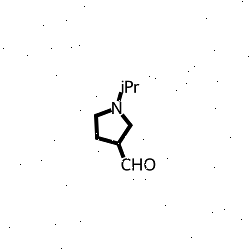 CC(C)N1CCC(C=O)C1